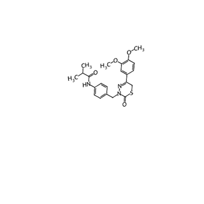 COc1ccc(C2=NN(Cc3ccc(NC(=O)C(C)C)cc3)C(=O)SC2)cc1OC